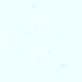 C=C(N)c1c(C)nc(C(C)(SC)c2cc(Cl)c(F)c(C(=O)NC3(C)CC(N=O)C3)c2OC(C)C)n1/C=C\C